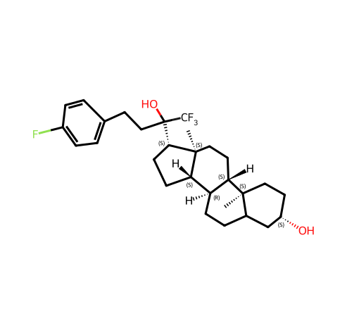 C[C@]12CC[C@H]3[C@@H](CCC4C[C@@H](O)CC[C@@]43C)[C@@H]1CC[C@@H]2C(O)(CCc1ccc(F)cc1)C(F)(F)F